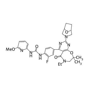 CCN1CC(C)(C)Oc2nc(N3CC4CCC(C3)O4)nc(-c3ccc(NC(=O)Nc4cccc(OC)n4)c(F)c3)c2C1=O